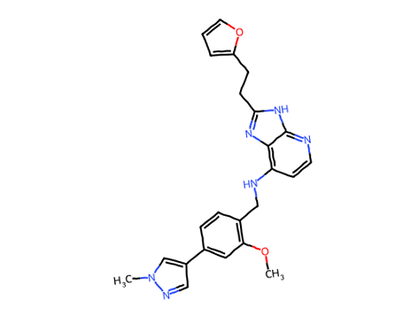 COc1cc(-c2cnn(C)c2)ccc1CNc1ccnc2[nH]c(CCc3ccco3)nc12